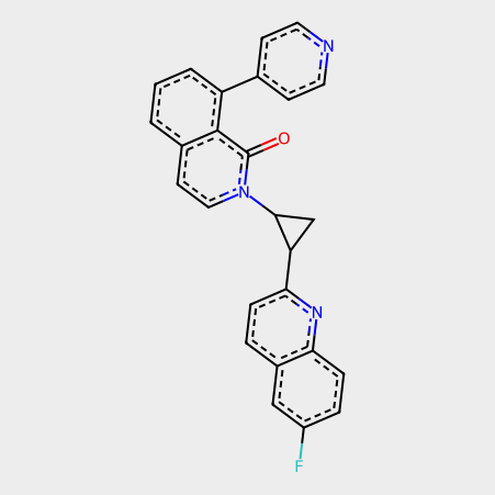 O=c1c2c(-c3ccncc3)cccc2ccn1C1CC1c1ccc2cc(F)ccc2n1